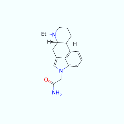 CCN1CCC[C@H]2c3cccc4c3c(cn4CC(N)=O)C[C@@H]21